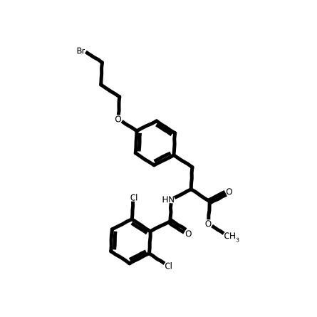 COC(=O)C(Cc1ccc(OCCCBr)cc1)NC(=O)c1c(Cl)cccc1Cl